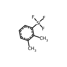 Cc1cccc([Si](F)(F)F)c1C